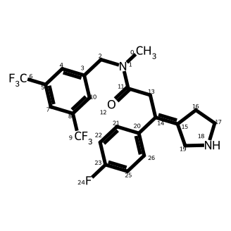 CN(Cc1cc(C(F)(F)F)cc(C(F)(F)F)c1)C(=O)CC(=C1CCNC1)c1ccc(F)cc1